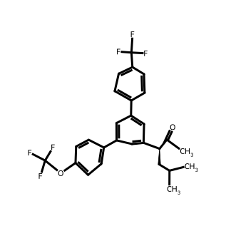 CC(=O)[C@@H](CC(C)C)c1cc(-c2ccc(OC(F)(F)F)cc2)cc(-c2ccc(C(F)(F)F)cc2)c1